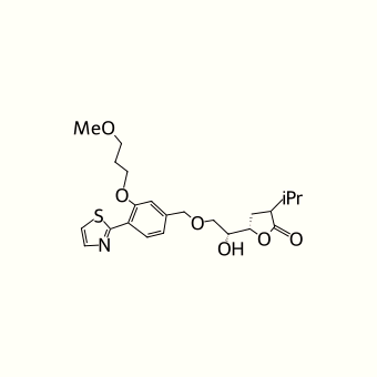 COCCCOc1cc(COC[C@@H](O)[C@@H]2CC(C(C)C)C(=O)O2)ccc1-c1nccs1